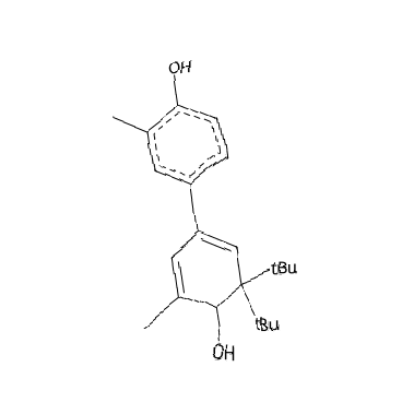 CC1=CC(c2ccc(O)c(C)c2)=CC(C(C)(C)C)(C(C)(C)C)C1O